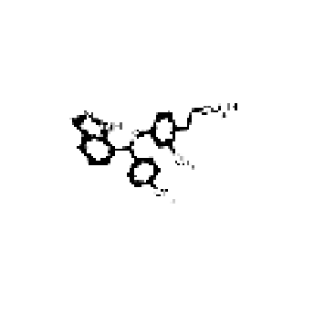 Cc1cc(SC(c2ccc(C(F)(F)F)cc2)c2cccc3cn[nH]c23)ccc1CCC(=O)O